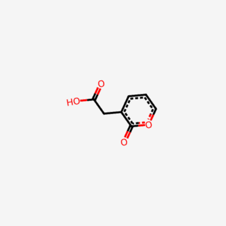 O=C(O)Cc1cccoc1=O